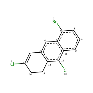 ClC1=Cc2cc3c(Br)cccc3c(Cl)c2CC1